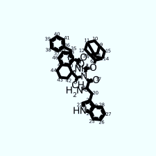 CC(N(C(=O)OC1C2CC3CC(C2)CC1C3)C(=O)[C@H](N)Cc1c[nH]c2ccccc12)[C@@]1(NC(=O)OCc2ccccc2)CCCc2ccccc21